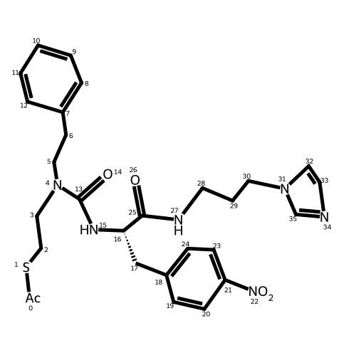 CC(=O)SCCN(CCc1ccccc1)C(=O)N[C@@H](Cc1ccc([N+](=O)[O-])cc1)C(=O)NCCCn1ccnc1